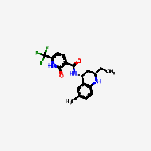 CC[C@@H]1C[C@@H](NC(=O)c2ccc(C(F)(F)F)[nH]c2=O)c2cc(C)ccc2N1